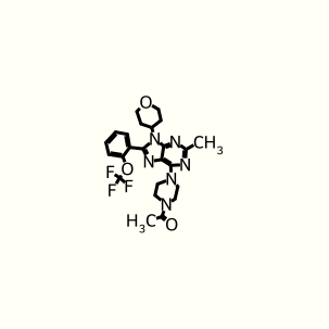 CC(=O)N1CCN(c2nc(C)nc3c2nc(-c2ccccc2OC(F)(F)F)n3C2CCOCC2)CC1